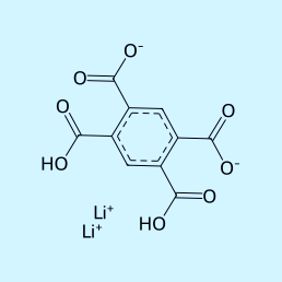 O=C([O-])c1cc(C(=O)[O-])c(C(=O)O)cc1C(=O)O.[Li+].[Li+]